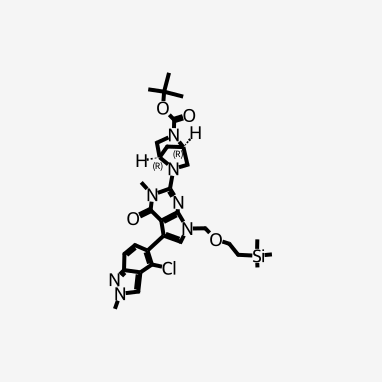 Cn1cc2c(Cl)c(-c3cn(COCC[Si](C)(C)C)c4nc(N5C[C@H]6C[C@@H]5CN6C(=O)OC(C)(C)C)n(C)c(=O)c34)ccc2n1